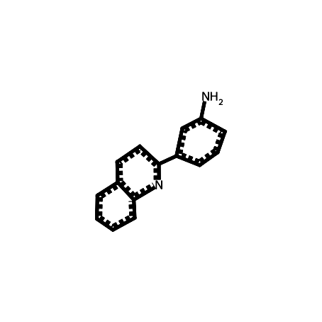 Nc1cccc(-c2ccc3ccccc3n2)c1